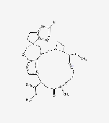 COC(=O)C1CC(=O)N(C)CC/C=C/C(OC)C2CCC2CN2CC3(CCc4cc(Cl)ccc43)COc3ccc1cc32